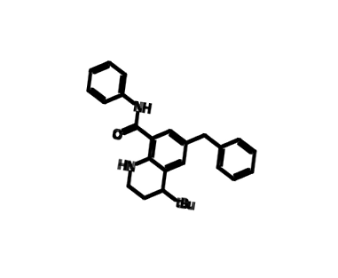 CC(C)(C)C1CCNc2c(C(=O)Nc3ccccc3)cc(Cc3ccccc3)cc21